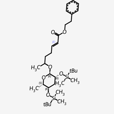 CC(CC/C=C/C(=O)OCCc1ccccc1)O[C@@H]1O[C@@H](C)[C@H](O[Si](C)(C)C(C)(C)C)C[C@H]1O[Si](C)(C)C(C)(C)C